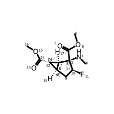 CN[C@]1(C(=O)OC)[C@H]2[C@@H](C[C@@H]1F)[C@@H]2C(=O)OC